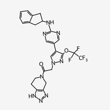 O=C(Cn1cc(-c2cnc(NC3Cc4ccccc4C3)nc2)c(OC(F)(F)C(F)(F)F)n1)N1CCc2[nH]nnc2C1